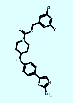 Nc1ncc(-c2ccc(NC3CCN(C(=O)OCc4cc(Cl)cc(Cl)c4)CC3)cc2)s1